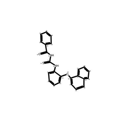 O=C(NC(=S)Nc1ccccc1Oc1cccc2ccccc12)c1ccccc1